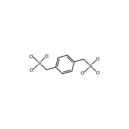 Cl[Si](Cl)(Cl)Cc1ccc(C[Si](Cl)(Cl)Cl)cc1